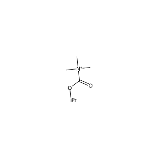 CC(C)OC(=O)[N+](C)(C)C